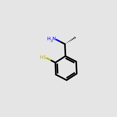 C[C@@H](N)c1ccccc1S